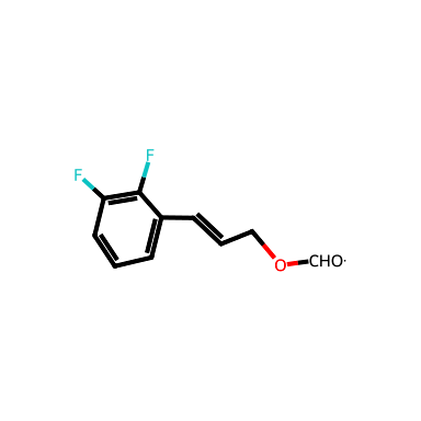 O=[C]OCC=Cc1cccc(F)c1F